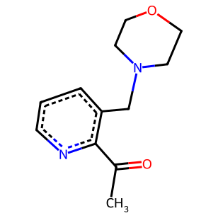 CC(=O)c1ncccc1CN1CCOCC1